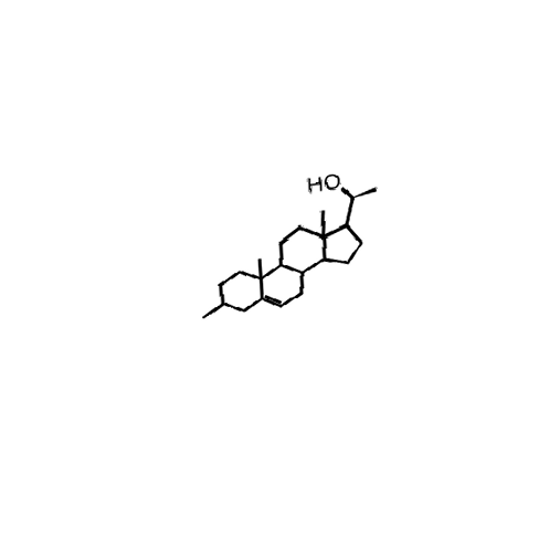 CC1CCC2(C)C(=CCC3C2CCC2(C)C3CCC2[C@H](C)O)C1